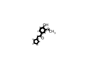 COc1cc(C(=O)CC2CCCC2)ccc1O